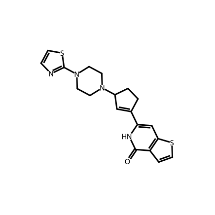 O=c1[nH]c(C2=CC(N3CCN(c4nccs4)CC3)CC2)cc2sccc12